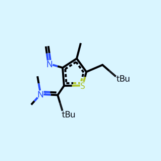 C=Nc1c(C(=[N+](C)C)C(C)(C)C)sc(CC(C)(C)C)c1C